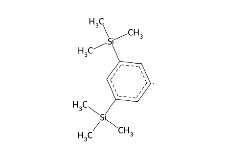 C[Si](C)(C)c1c[c]cc([Si](C)(C)C)c1